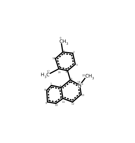 Cc1ccc(-c2c3ccccc3cc[n+]2C)c(C)c1